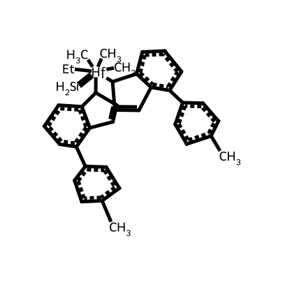 C[CH2][Hf]([CH3])([CH3])([CH3])(=[SiH2])([CH]1C=Cc2c(-c3ccc(C)cc3)cccc21)[CH]1C=Cc2c(-c3ccc(C)cc3)cccc21